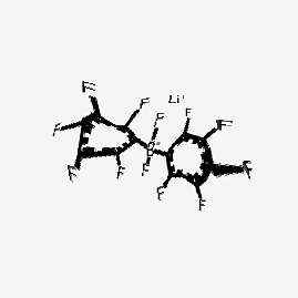 Fc1c(F)c(F)c([B-](F)(F)c2c(F)c(F)c(F)c(F)c2F)c(F)c1F.[Li+]